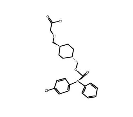 O=C(Cl)COC[C@H]1CC[C@H](COC(=O)N(c2ccccc2)c2ccc(Cl)cc2)CC1